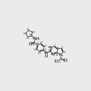 CCC(CC)n1ccc2cnc(Nc3ccc(C(=O)NC4CCCC4)cc3)nc21